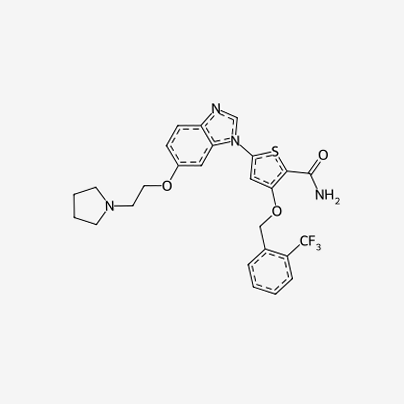 NC(=O)c1sc(-n2cnc3ccc(OCCN4CCCC4)cc32)cc1OCc1ccccc1C(F)(F)F